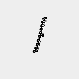 c1ccc(-c2ccc(-c3ccc(-c4ccc(-c5ccc6c7ccc(-c8ccc(-c9ccc(-c%10ccc(-c%11ccccn%11)nc%10)nc9)nc8)cc7c7ccccc7c6c5)cn4)cn3)cn2)nc1